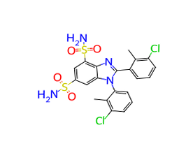 Cc1c(Cl)cccc1-c1nc2c(S(N)(=O)=O)cc(S(N)(=O)=O)cc2n1-c1cccc(Cl)c1C